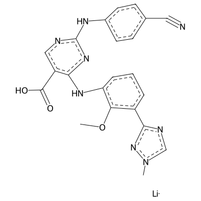 COc1c(Nc2nc(Nc3ccc(C#N)cc3)ncc2C(=O)O)cccc1-c1ncn(C)n1.[Li]